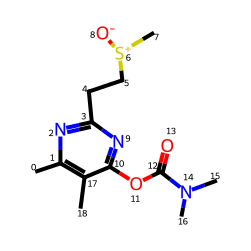 Cc1nc(CC[S+](C)[O-])nc(OC(=O)N(C)C)c1C